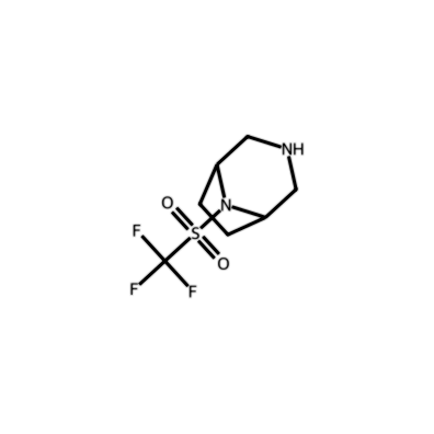 O=S(=O)(N1C2CCC1CNC2)C(F)(F)F